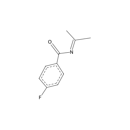 CC(C)=NC(=O)c1ccc(F)cc1